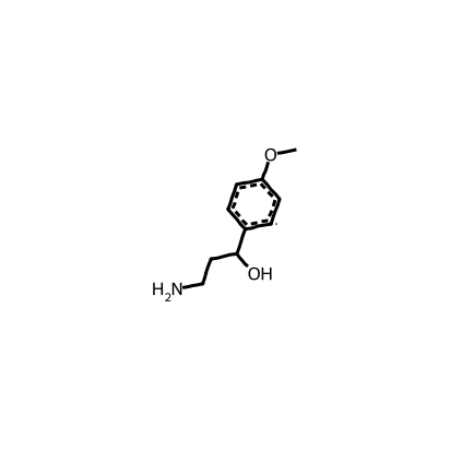 COc1c[c]c(C(O)CCN)cc1